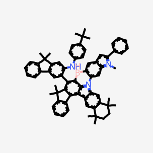 Cn1c(-c2ccccc2)cc2cc3c(cc21)-n1c2cc4c(cc2c2c5c(c(-c6cc7c(cc6Nc6ccc(C(C)(C)C)cc6)C(C)(C)c6ccccc6-7)c(c21)B3)C(C)(C)c1ccccc1-5)C(C)(C)CCC4(C)C